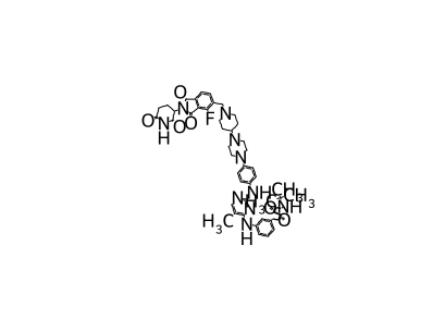 Cc1cnc(Nc2ccc(N3CCN(C4CCN(Cc5ccc6c(c5F)C(=O)N(C5CCC(=O)NC5=O)C6=O)CC4)CC3)cc2)nc1Nc1cccc(S(=O)(=O)NC(C)(C)C)c1